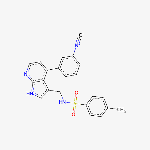 [C-]#[N+]c1cccc(-c2ccnc3[nH]cc(CNS(=O)(=O)c4ccc(C)cc4)c23)c1